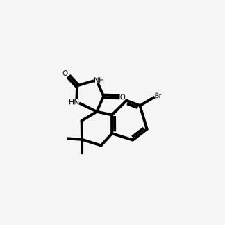 CC1(C)Cc2ccc(Br)cc2C2(C1)NC(=O)NC2=O